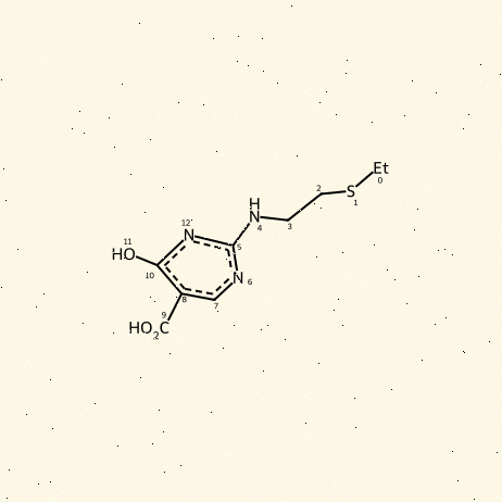 CCSCCNc1ncc(C(=O)O)c(O)n1